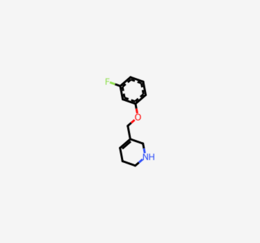 Fc1cccc(OCC2=CCCNC2)c1